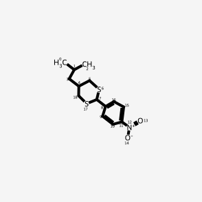 CC(C)CC1CSC(c2ccc([N+](=O)[O-])cc2)SC1